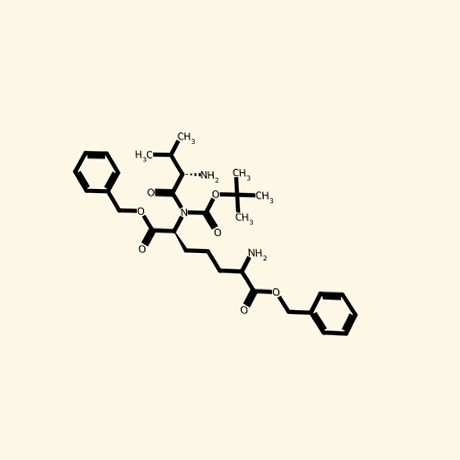 CC(C)[C@H](N)C(=O)N(C(=O)OC(C)(C)C)[C@@H](CCCC(N)C(=O)OCc1ccccc1)C(=O)OCc1ccccc1